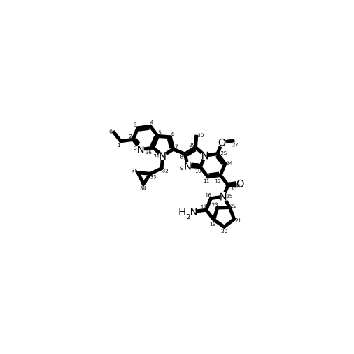 CCc1ccc2cc(-c3nc4cc(C(=O)N5CC(N)C6CCC5C6)cc(OC)n4c3C)n(CC3CC3)c2n1